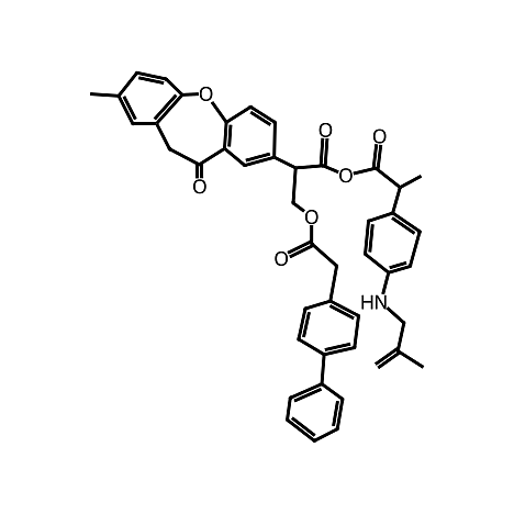 C=C(C)CNc1ccc(C(C)C(=O)OC(=O)C(COC(=O)Cc2ccc(-c3ccccc3)cc2)c2ccc3c(c2)C(=O)Cc2cc(C)ccc2O3)cc1